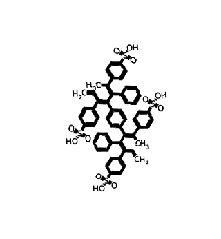 C=C/C(=C(\C(=C(/C)c1ccc(S(=O)(=O)O)cc1)c1ccc(C(=C(/C=C)c2ccc(S(=O)(=O)O)cc2)/C(=C(\C)c2ccc(S(=O)(=O)O)cc2)c2ccccc2)cc1)c1ccccc1)c1ccc(S(=O)(=O)O)cc1